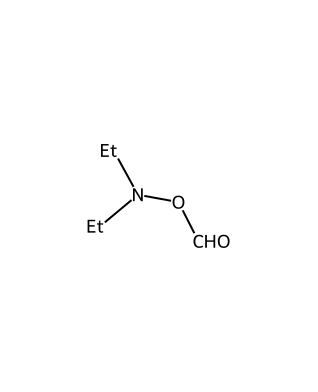 CCN(CC)OC=O